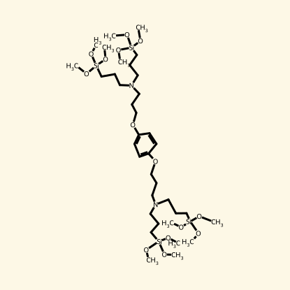 CO[Si](CCCN(CCCOc1ccc(OCCCN(CCC[Si](OC)(OC)OC)CCC[Si](OC)(OC)OC)cc1)CCC[Si](OC)(OC)OC)(OC)OC